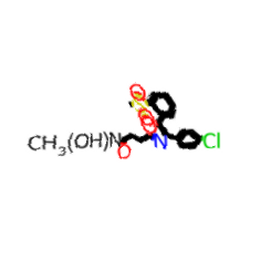 CN(O)C(=O)CCc1nc(-c2ccc(Cl)cc2)c(-c2ccccc2S(C)(=O)=O)o1